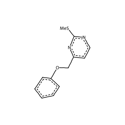 CSc1nccc(COc2ccccc2)n1